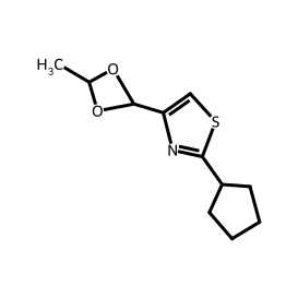 CC1OC(c2csc(C3CCCC3)n2)O1